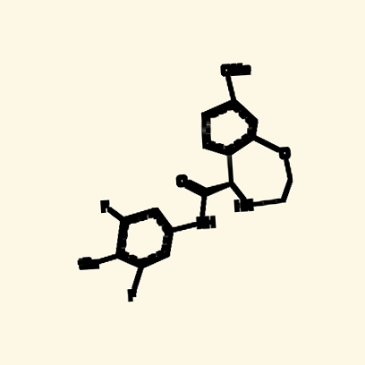 COc1ccc2c(c1)OCCN[C@H]2C(=O)Nc1cc(F)c(C(C)(C)C)c(F)c1